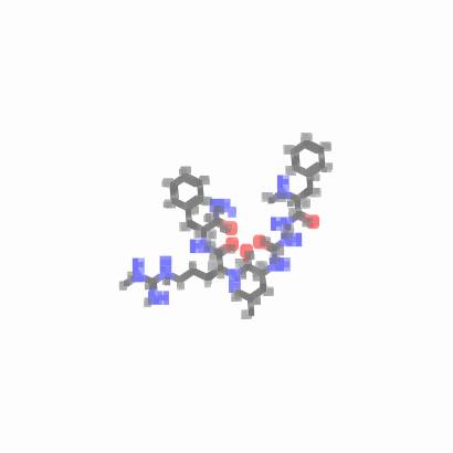 CNC(=N)NCCC[C@H](NC(=O)[C@H](CC(C)C)NC(=O)NNC(=O)[C@H](Cc1ccccc1)NC)C(=O)N[C@@H](Cc1ccccc1)C(N)=O